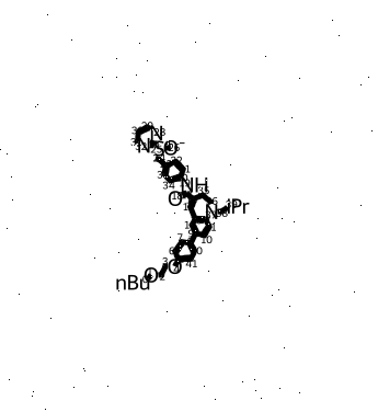 CCCCOCCOc1ccc(-c2ccc3c(c2)C=C(C(=O)Nc2ccc(C[S+]([O-])c4ncccn4)cc2)CCN3CC(C)C)cc1